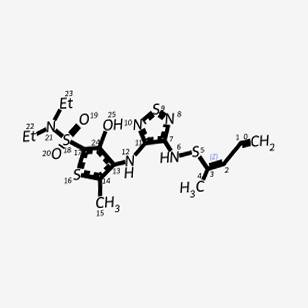 C=C/C=C(/C)SNc1nsnc1Nc1c(C)sc(S(=O)(=O)N(CC)CC)c1O